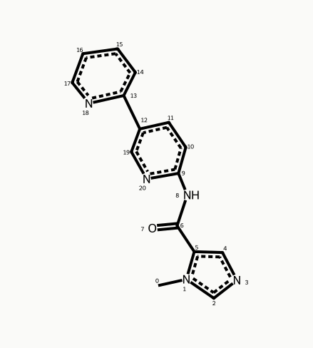 Cn1cncc1C(=O)Nc1ccc(-c2ccccn2)cn1